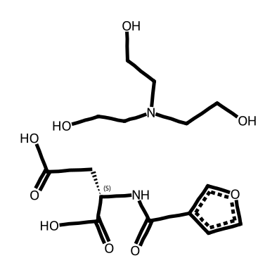 O=C(O)C[C@H](NC(=O)c1ccoc1)C(=O)O.OCCN(CCO)CCO